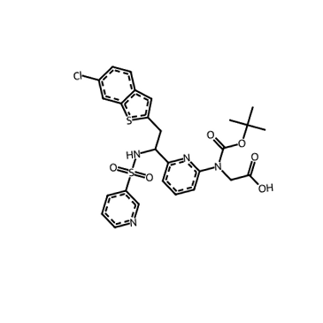 CC(C)(C)OC(=O)N(CC(=O)O)c1cccc(C(Cc2cc3ccc(Cl)cc3s2)NS(=O)(=O)c2cccnc2)n1